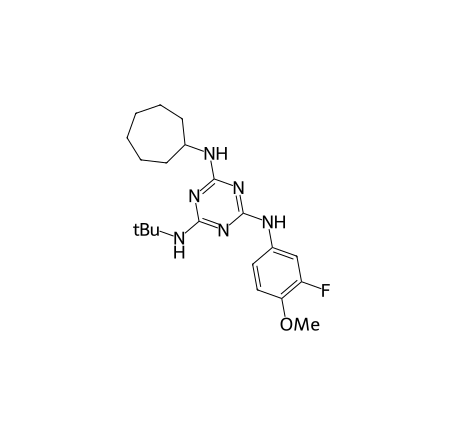 COc1ccc(Nc2nc(NC3CCCCCC3)nc(NC(C)(C)C)n2)cc1F